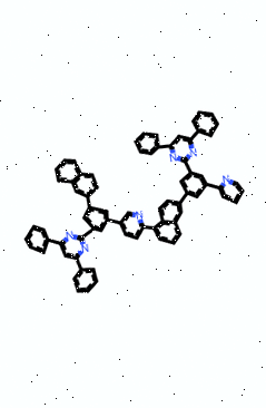 c1ccc(-c2cc(-c3ccccc3)nc(-c3cc(-c4ccc(-c5cccc6cc(-c7cc(-c8ccccn8)cc(-c8nc(-c9ccccc9)cc(-c9ccccc9)n8)c7)ccc56)nc4)cc(-c4ccc5ccccc5c4)c3)n2)cc1